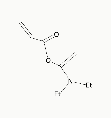 C=CC(=O)OC(=C)N(CC)CC